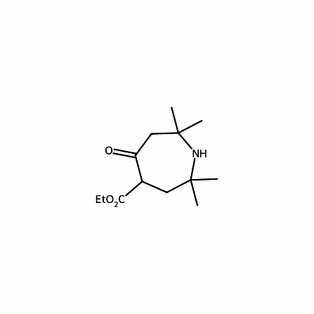 CCOC(=O)C1CC(C)(C)NC(C)(C)CC1=O